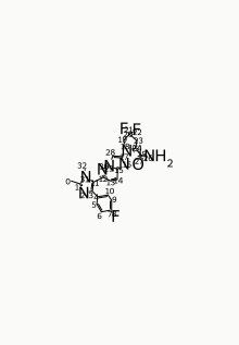 Cc1nc(-c2ccc(F)cc2)c(-c2ccc3nc(N4CC(F)(F)C[C@H]4C(N)=O)cn3n2)n1C